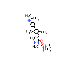 C/C(=C\c1cc(C)c(-c2ccc(NC(C)C)cc2)cc1C)C(=O)N[C@H](C)C(=O)NC(C)C